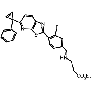 CCOC(=O)CCNCc1ccc(-c2nc3ccc(C4(c5ccccc5)C=C4)nc3s2)c(F)c1